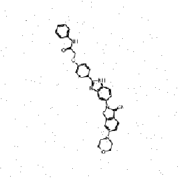 O=C(COC1=CCC(c2nc3cc(N4Cc5cc(N6CCOCC6)ccc5C4=O)ccc3[nH]2)C=C1)Nc1ccccc1